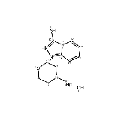 CCN1CCOCC1.Cl.Cl.Sc1nnc2ccccn12